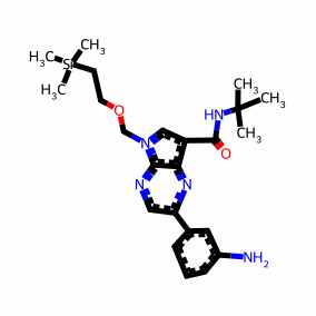 CC(C)(C)NC(=O)c1cn(COCC[Si](C)(C)C)c2ncc(-c3cccc(N)c3)nc12